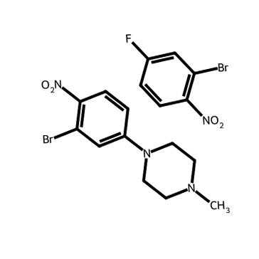 CN1CCN(c2ccc([N+](=O)[O-])c(Br)c2)CC1.O=[N+]([O-])c1ccc(F)cc1Br